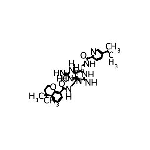 CC(C)c1ccc(C(=O)NC[C@@H]2NC(=N)N3CC(NC(=O)c4cccc5c4OCCC5(C)C)[C@@H](O)[C@@]34NC(=N)N[C@@H]24)nc1